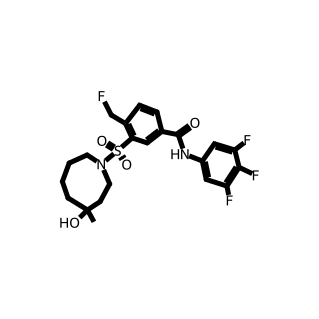 CC1(O)CCCCN(S(=O)(=O)c2cc(C(=O)Nc3cc(F)c(F)c(F)c3)ccc2CF)CC1